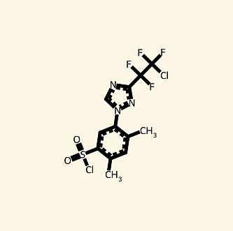 Cc1cc(C)c(S(=O)(=O)Cl)cc1-n1cnc(C(F)(F)C(F)(F)Cl)n1